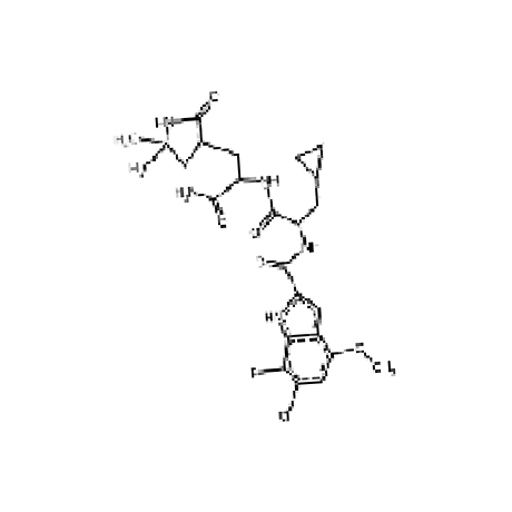 COc1cc(Cl)c(F)c2[nH]c(C(=O)NC(CC3CC3)C(=O)NC(CC3CC(C)(C)NC3=O)C(N)=O)cc12